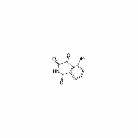 CC(C)c1cccc2c1C(=O)C(=O)NC2=O